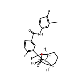 Cc1cc(NC(=O)c2ccc(F)c(C(F)(F)C(=O)N3[C@@H]4CCC[C@H]3C[C@@H](O)C4)c2)ccc1F